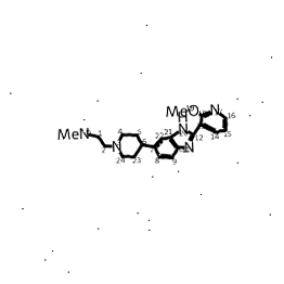 CNCCN1CCC(c2ccc3nc(-c4cccnc4OC)[nH]c3c2)CC1